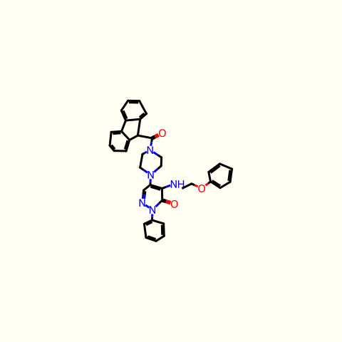 O=C(C1c2ccccc2-c2ccccc21)N1CCN(c2cnn(-c3ccccc3)c(=O)c2NCCOc2ccccc2)CC1